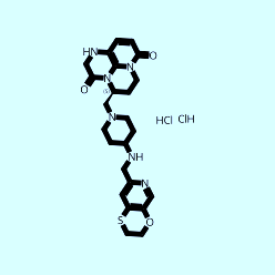 Cl.Cl.O=C1CNc2ccc(=O)n3c2N1[C@H](CN1CCC(NCc2cc4c(cn2)OCCS4)CC1)CC3